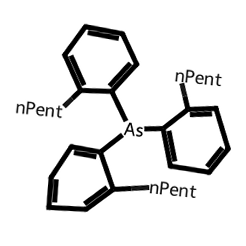 CCCCCc1ccccc1[As](c1ccccc1CCCCC)c1ccccc1CCCCC